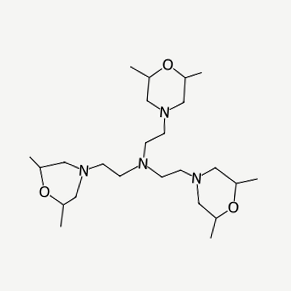 CC1CN(CCN(CCN2CC(C)OC(C)C2)CCN2CC(C)OC(C)C2)CC(C)O1